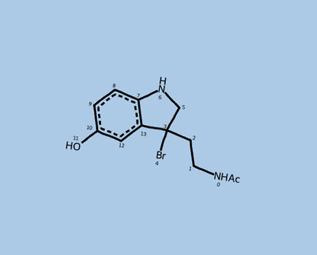 CC(=O)NCCC1(Br)CNc2ccc(O)cc21